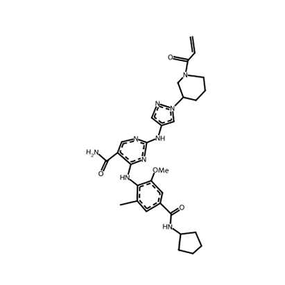 C=CC(=O)N1CCCC(n2cc(Nc3ncc(C(N)=O)c(Nc4c(C)cc(C(=O)NC5CCCC5)cc4OC)n3)cn2)C1